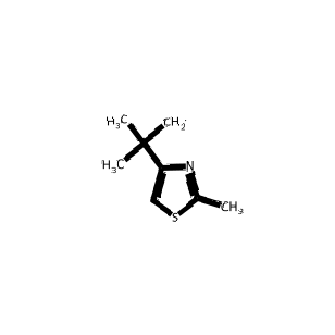 [CH2]C(C)(C)c1csc(C)n1